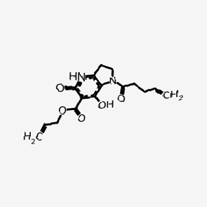 C=CCCC(=O)N1CCc2[nH]c(=O)c(C(=O)OCC=C)c(O)c21